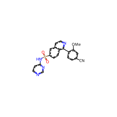 COc1cc(C#N)ccc1-c1nccc2cc(S(=O)(=O)Nc3ccncn3)ccc12